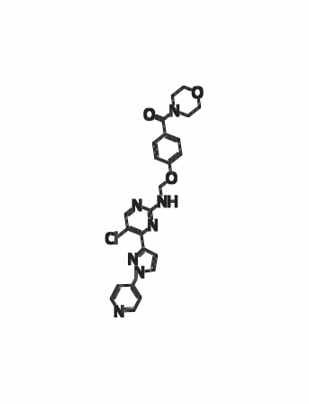 O=C(c1ccc(OCNc2ncc(Cl)c(-c3ccn(-c4ccncc4)n3)n2)cc1)N1CCOCC1